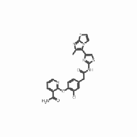 Cc1nc2sccn2c1-c1csc(NC(=O)Cc2ccc(Oc3ncccc3C(N)=O)c(Cl)c2)n1